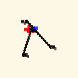 CCCCCCCCCCCCCCCCCC(=O)NC(CCCCCC)[C@H](NC(=O)CCCCCCCCCCCCCCCCC)C(=O)O